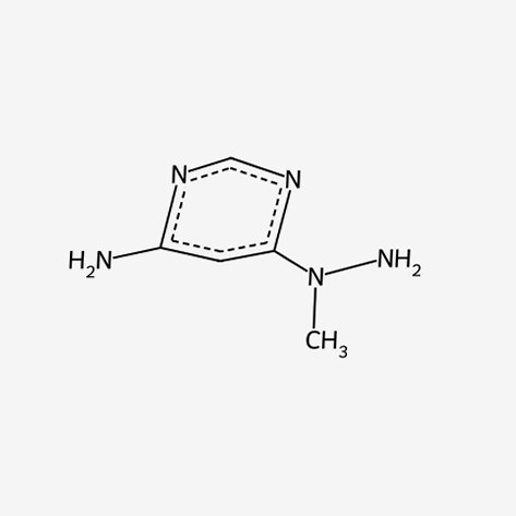 CN(N)c1cc(N)ncn1